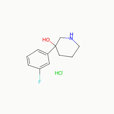 Cl.OC1(c2cccc(F)c2)CCCNC1